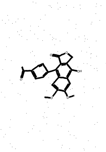 COc1cc2c(O)c3c(c(-c4ccc(C(C)=O)cc4)c2cc1OC)C(=O)OC3